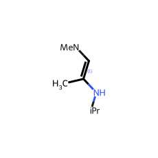 CN/C=C(\C)NC(C)C